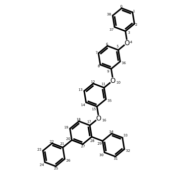 c1ccc(Oc2cccc(Oc3cccc(Oc4ccc(-c5ccccc5)cc4-c4ccccc4)c3)c2)cc1